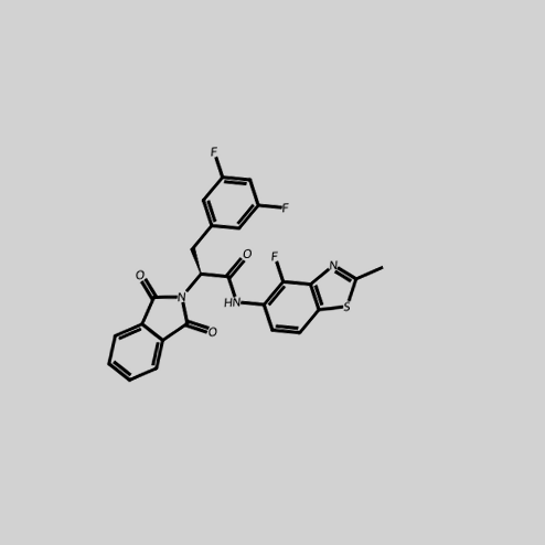 Cc1nc2c(F)c(NC(=O)[C@H](Cc3cc(F)cc(F)c3)N3C(=O)c4ccccc4C3=O)ccc2s1